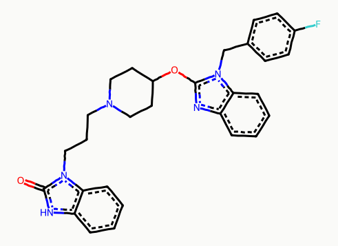 O=c1[nH]c2ccccc2n1CCCN1CCC(Oc2nc3ccccc3n2Cc2ccc(F)cc2)CC1